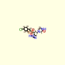 O=C1CN(CCC(c2cnc[nH]2)S(=O)(=O)c2cc3ccc(Cl)cc3s2)CCN1